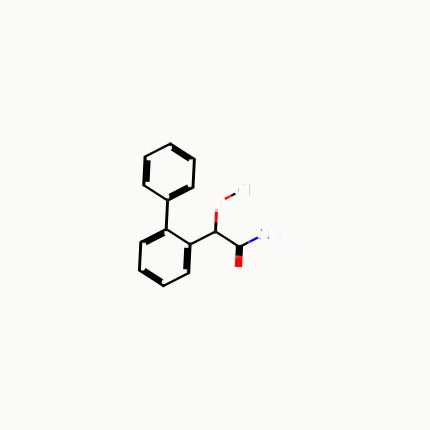 COC(C(N)=O)c1ccccc1-c1ccccc1